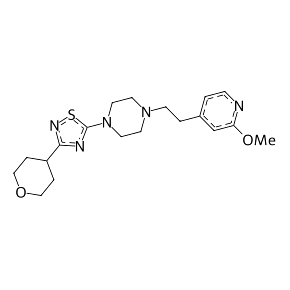 COc1cc(CCN2CCN(c3nc(C4CCOCC4)ns3)CC2)ccn1